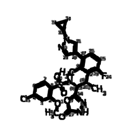 COc1cc(Cl)ccc1S(=O)(=O)N[C@H](c1n[nH]c(=O)o1)[C@H](C)c1c(F)ccc(-c2cnn(C3CC3)c2)c1C